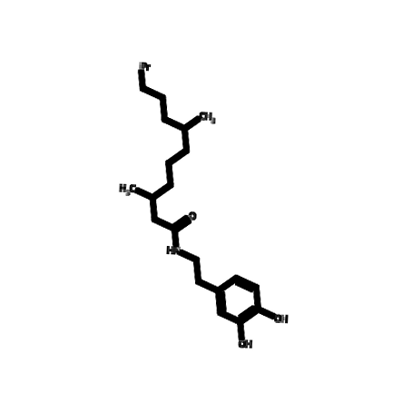 CC(C)CCCC(C)CCCC(C)CC(=O)NCCc1ccc(O)c(O)c1